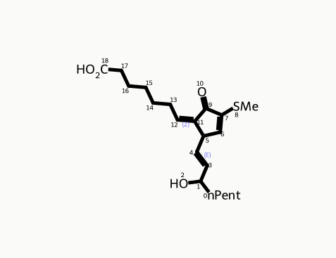 CCCCCC(O)/C=C/C1C=C(SC)C(=O)/C1=C\CCCCCC(=O)O